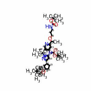 CC(OCCCNC(=O)OC(C)(C)C)c1cc(N(C(=O)OC(C)(C)C)c2cc([C@H]3CC[C@@H](O[Si](C)(C)C(C)(C)C)C3)nn2C(C)(C)C)ccn1